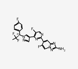 CC(F)(F)[C@@H](c1ccc(F)cc1)n1cc(-c2nc(-c3cc4nc(N)nn4cc3F)ncc2F)cn1